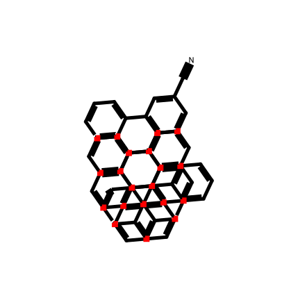 N#Cc1ccc(N2c3ccccc3C3(c4ccccc4Oc4ccccc43)c3ccccc32)c(-c2cccnc2N2c3ccccc3C3(c4ccccc4Oc4ccccc43)c3ccccc32)c1